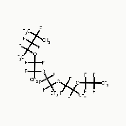 CC(F)(C(F)(F)F)C(F)(F)C(F)(OC(F)(F)C(F)(OC(F)(F)C(F)(OC(F)(F)C(F)(OC(F)(F)C(F)(F)C(F)(F)F)C(F)(F)F)C(F)(F)F)C(F)(F)F)C(F)(F)F